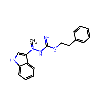 C=[N+](NC(=N)NCCc1ccccc1)c1c[nH]c2ccccc12